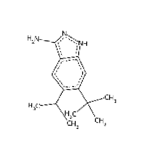 CC(C)c1cc2c(N)n[nH]c2cc1C(C)(C)C